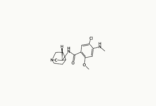 CNc1cc(OC)c(C(=O)N[C@H]2CN3CCC2CC3)cc1Cl